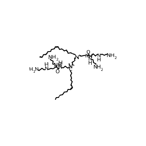 CCCCCCCC/C=C\CCCCCCCC[N+](C)(CCCC[N+](C)(CCCCCCCC/C=C\CCCCCCCC)CCCNC(=O)C(CCCNCCCN)NCCCN)CCCNC(=O)C(CCCNCCCN)NCCCN